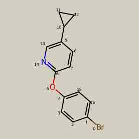 Brc1ccc(Oc2ccc(C3CC3)cn2)cc1